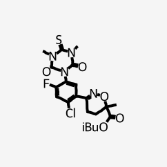 CC(C)COC(=O)C1(C)CCC(c2cc(-n3c(=O)n(C)c(=S)n(C)c3=O)c(F)cc2Cl)=NO1